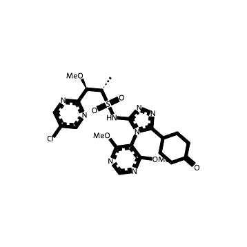 COc1ncnc(OC)c1-n1c(NS(=O)(=O)[C@@H](C)[C@H](OC)c2ncc(Cl)cn2)nnc1C1CCC(=O)CC1